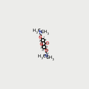 CN(C)CCOc1ccc2c(=O)c3cc(OCCN(C)C)ccc3oc2c1